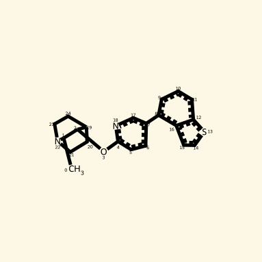 CC1C(Oc2ccc(-c3cccc4sccc34)cn2)C2CCN1CC2